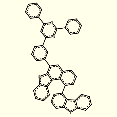 c1ccc(-c2cc(-c3cccc(-c4cc5cccc(-c6cccc7sc8ccccc8c67)c5c5c4sc4ccccc45)c3)nc(-c3ccccc3)n2)cc1